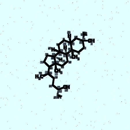 CC[C@]1(O)CC[C@@]2(C)[C@H](CC[C@@H]3[C@@H]2CC[C@]2(C)C([C@H](C)CC[C@H](O)C(C)C)CC[C@@H]32)C1